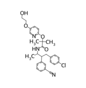 CC(NC(=O)C(C)(C)Oc1ccc(OCCO)cn1)C(Cc1ccc(Cl)cc1)c1cccc(C#N)c1